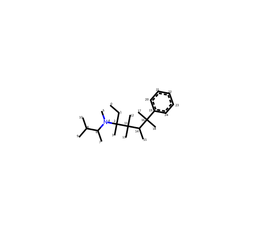 CCC(C)(N(C)C(C)C(C)C)C(C)(C)C(C)C(C)(C)c1ccccc1